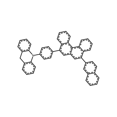 c1ccc2c(c1)Cc1ccccc1N2c1ccc(-c2cc3cc(-c4ccc5ccccc5c4)c4ccccc4c3c3ccccc23)cc1